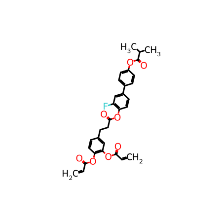 C=CC(=O)Oc1ccc(CCC(=O)Oc2ccc(-c3ccc(OC(=O)C(C)C)cc3)cc2F)cc1OC(=O)C=C